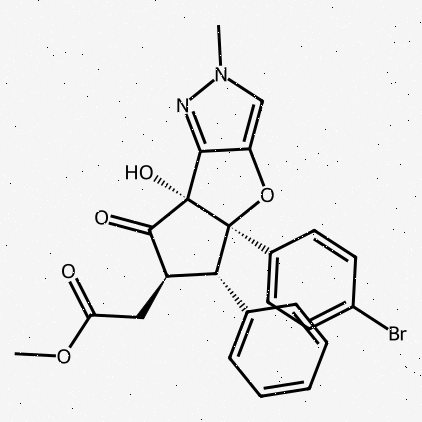 COC(=O)C[C@H]1C(=O)[C@@]2(O)c3nn(C)cc3O[C@@]2(c2ccc(Br)cc2)[C@@H]1c1ccccc1